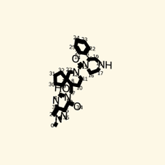 Cn1cc2ncn(CC3(O)CCN(C(=O)N4CCNC[C@H]4c4ccccc4)CC34CCCC4)c(=O)c2n1